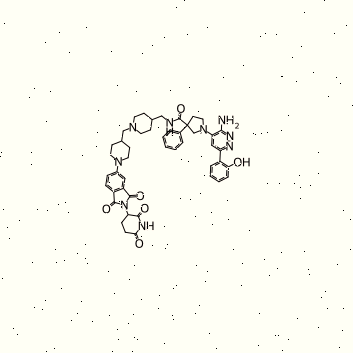 Nc1nnc(-c2ccccc2O)cc1N1CCC(C(=O)NCC2CCN(CC3CCN(c4ccc5c(c4)C(=O)N(C4CCC(=O)NC4=O)C5=O)CC3)CC2)(c2ccccc2)C1